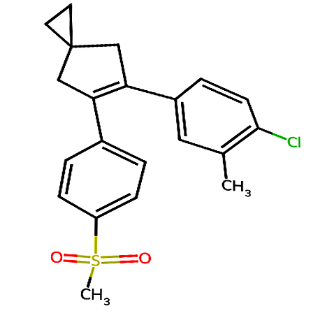 Cc1cc(C2=C(c3ccc(S(C)(=O)=O)cc3)CC3(CC3)C2)ccc1Cl